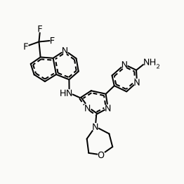 Nc1ncc(-c2cc(Nc3ccnc4c(C(F)(F)F)cccc34)nc(N3CCOCC3)n2)cn1